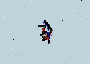 C/C=C(\C#N)c1ccc2c3ccc(/C(C#N)=C/c4ccc(-c5ccc(C6=C7C(=O)N(CC(CCCCCC)CCCCCCCC)C(c8ccc(-c9ccc(C)s9)s8)=C7C(=O)N6CC(CCCCCC)CCCCCCCC)s5)s4)cc3n(C(CCCCCCCC)CCCCCCCC)c2c1